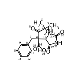 CC(C)(C)C(=O)C(Cc1ccccc1)(C(=O)O)C1NC(=O)NC1=O